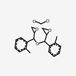 Cc1ccccc1C(OC(c1ccccc1C)C1CO1)C1CO1.ClCCl